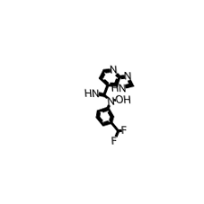 N=C(c1ccnc2nc[nH]c12)N(O)c1cccc(C(F)F)c1